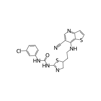 N#Cc1cnc2ccsc2c1NCCC1CN=C(NC(=O)Nc2cccc(Cl)c2)S1